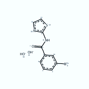 [B+2]c1cccc(C(=O)Nc2nccs2)c1.[OH-].[OH-]